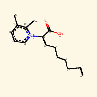 CCCCCCCC(C(=O)O)[n+]1cccc(C)c1C